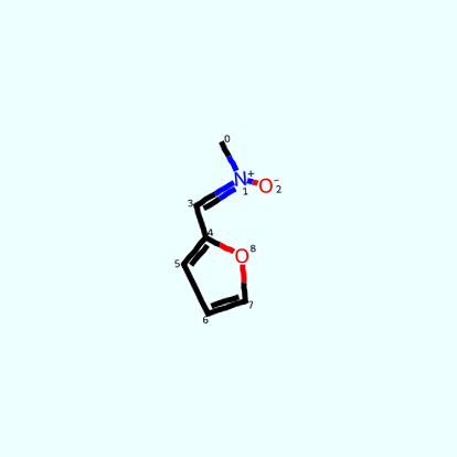 C[N+]([O-])=Cc1ccco1